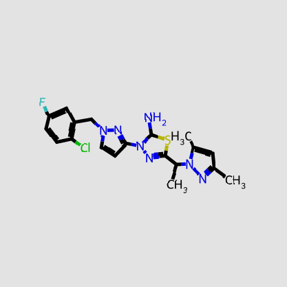 Cc1cc(C)n(C(C)C2=NN(c3ccn(Cc4cc(F)ccc4Cl)n3)C(N)S2)n1